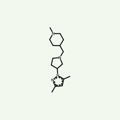 Cc1cc(C)n(C2CCN(CC3CCN(C)CC3)C2)n1